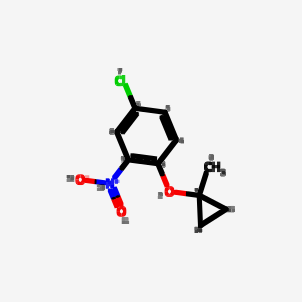 CC1(Oc2ccc(Cl)cc2[N+](=O)[O-])CC1